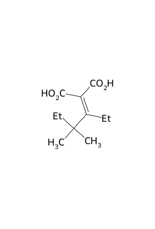 CCC(=C(C(=O)O)C(=O)O)C(C)(C)CC